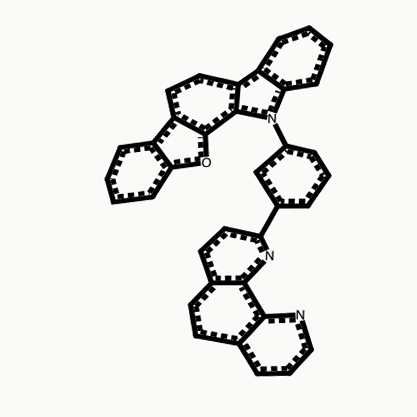 c1cc(-c2ccc3ccc4cccnc4c3n2)cc(-n2c3ccccc3c3ccc4c5ccccc5oc4c32)c1